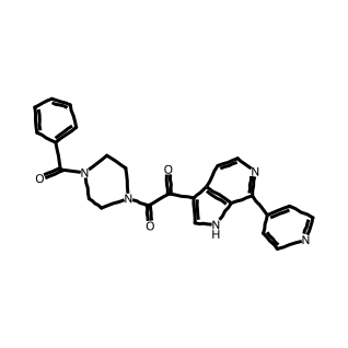 O=C(C(=O)N1CCN(C(=O)c2ccccc2)CC1)c1c[nH]c2c(-c3ccncc3)nccc12